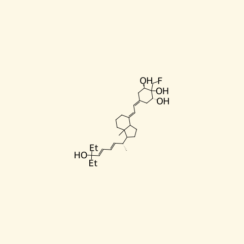 CCC(O)(/C=C/C=C/[C@@H](C)C1CCC2/C(=C/C=C3C[C@@H](O)C(O)(CF)[C@H](O)C3)CCCC21C)CC